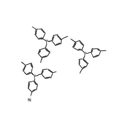 Cc1ccc(P(c2ccc(C)cc2)c2ccc(C)cc2)cc1.Cc1ccc(P(c2ccc(C)cc2)c2ccc(C)cc2)cc1.Cc1ccc(P(c2ccc(C)cc2)c2ccc(C)cc2)cc1.[Ni]